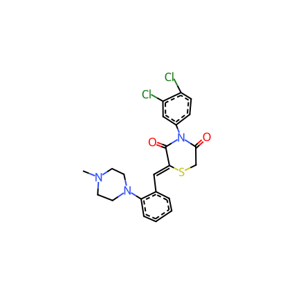 CN1CCN(c2ccccc2C=C2SCC(=O)N(c3ccc(Cl)c(Cl)c3)C2=O)CC1